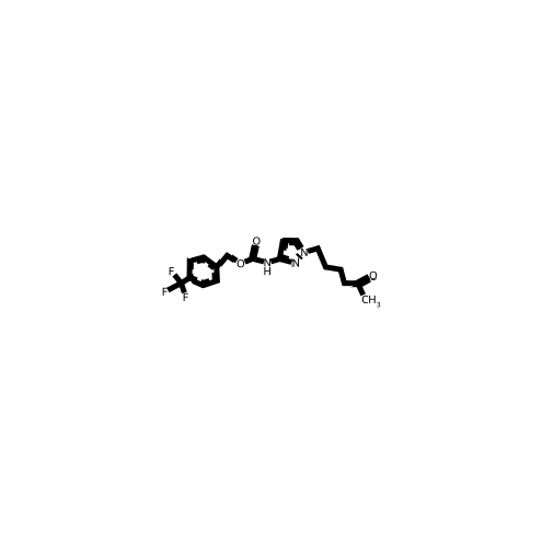 CC(=O)CCCCn1ccc(NC(=O)OCc2ccc(C(F)(F)F)cc2)n1